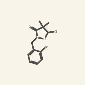 CC1(C)C(=O)N(Cc2ccccc2Br)OC1Cl